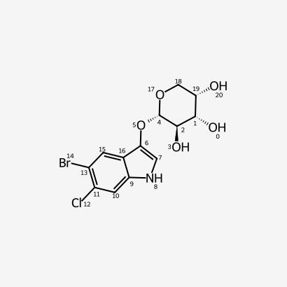 O[C@@H]1[C@@H](O)[C@H](Oc2c[nH]c3cc(Cl)c(Br)cc23)OC[C@@H]1O